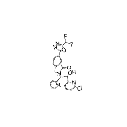 O=C1c2cc(-c3nnc(C(F)F)o3)ccc2CN1[C@H](c1ccccn1)[C@@H](O)c1cccc(Cl)n1